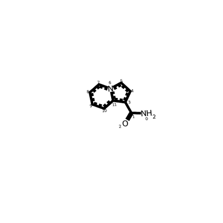 NC(=O)c1ccn2ccccc12